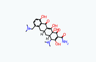 CN(C)Cc1ccc(O)c2c1C[C@H]1C[C@H]3C(N(C)C)C(O)=C(C(N)=O)C(=O)[C@@]3(O)C(O)=C1C2=O